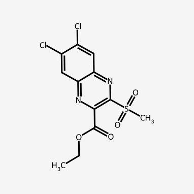 CCOC(=O)c1nc2cc(Cl)c(Cl)cc2nc1S(C)(=O)=O